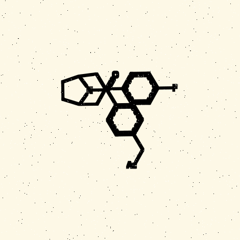 CC(=O)Cc1ccc(C(=O)N2C3CCC2CC(c2ccc(F)cc2)C3)cc1